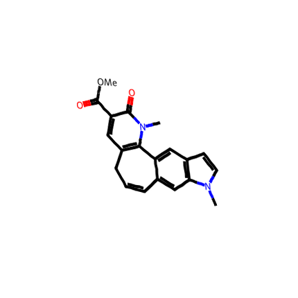 COC(=O)c1cc2c(n(C)c1=O)-c1cc3ccn(C)c3cc1C=CC2